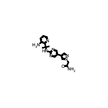 CC(C)(Nc1ncc(-c2cnn(CC(N)=O)c2)cn1)c1ncccc1N